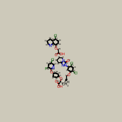 C#CCOc1cc(-n2nc3n(c2=O)CCCC3)c(Cl)cc1Cl.C[C@@H](Oc1ccc(Oc2ncc(Cl)cc2F)cc1)C(=O)O.O=C(O)COc1ccc(Cl)c2cccnc12